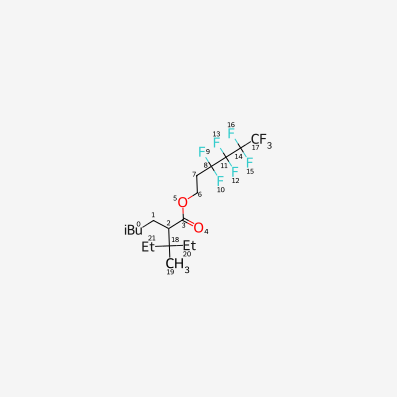 CCC(C)CC(C(=O)OCCC(F)(F)C(F)(F)C(F)(F)C(F)(F)F)C(C)(CC)CC